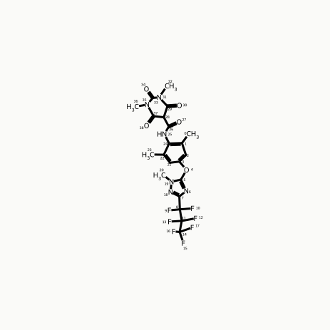 Cc1cc(Oc2nc(C(F)(F)C(F)(F)C(F)(F)F)nn2C)cc(C)c1NC(=O)C1C(=O)N(C)C(=O)N(C)C1=O